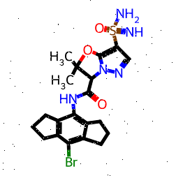 CC1(C)Oc2c(S(=N)(N)=O)cnn2C1C(=O)Nc1c2c(c(Br)c3c1CCC3)CCC2